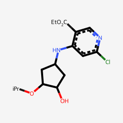 CCOC(=O)c1cnc(Cl)cc1NC1CC(O)C(OC(C)C)C1